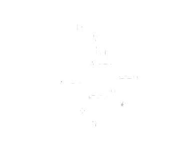 CC(=O)CC(=O)OC(C)C.CC(=O)CC(=O)OC(C)C.CC[O][InH2]